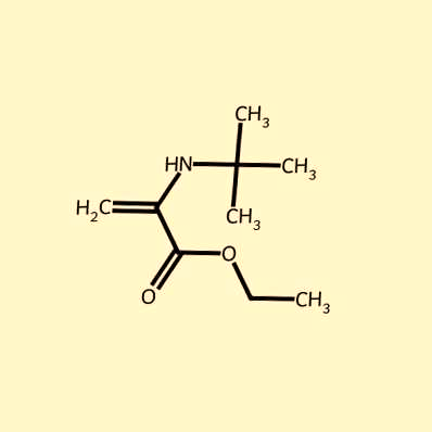 C=C(NC(C)(C)C)C(=O)OCC